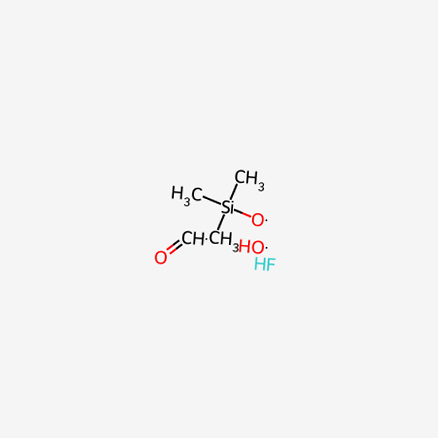 C[Si](C)(C)[O].F.[CH]=O.[OH]